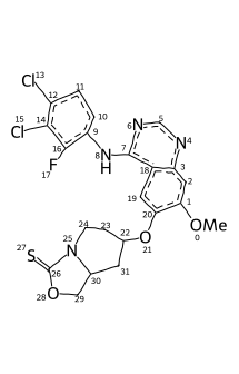 COc1cc2ncnc(Nc3ccc(Cl)c(Cl)c3F)c2cc1OC1CCN2C(=S)OCC2C1